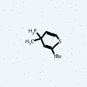 CC1(P)C=CSC(C(C)(C)C)=C1